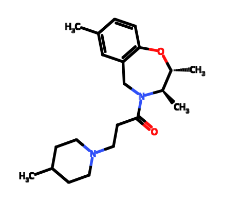 Cc1ccc2c(c1)CN(C(=O)CCN1CCC(C)CC1)[C@H](C)[C@@H](C)O2